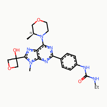 CCNC(=O)Nc1ccc(-c2nc(N3CCOC[C@@H]3C)c3nc(C4(O)COC4)n(C)c3n2)cc1